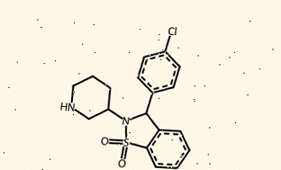 O=S1(=O)c2ccccc2C(c2ccc(Cl)cc2)N1C1CCCNC1